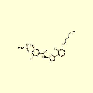 COC(=Cc1c(F)cc(C(=O)Nc2nc(-c3cccc(COCCCC(C)C)c3F)cs2)cc1F)C(=O)O